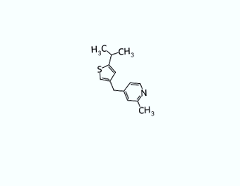 Cc1cc(Cc2csc(C(C)C)c2)ccn1